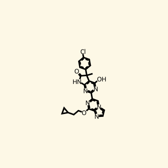 CC1(c2ccc(Cl)cc2)C(=O)Nc2nc(-c3cn4ccnc4c(OCCC4CC4)n3)nc(O)c21